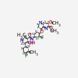 COc1cc2nccc(Oc3ccc(NC(=O)c4c(C)ncc(-c5ccc(F)c(C)c5)c4O)cc3F)c2nc1OC